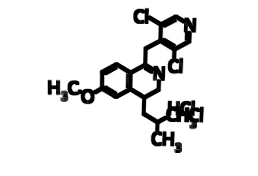 COc1ccc2c(c1)C(CC(C)C)CN=C2Cc1c(Cl)cncc1Cl.Cl.Cl